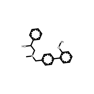 CC(C)Oc1ccccc1-c1ccc(CN(C)CC(O)c2ccccc2)cc1